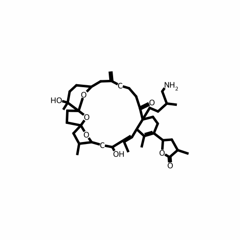 C=C1CCCC(=O)C2(CCC(C)CN)CCC(C3CC(C)C(=O)O3)=C(C)C2/C=C(/C)C(O)CC2OC3(CCC4(OC(CCC4(C)O)C1)O3)CC2C